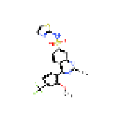 COc1cc(C(F)(F)F)ccc1-c1nc(C)nc2cc(S(=O)(=O)Nc3nccs3)ccc12